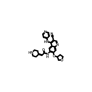 N#Cc1cnc2cc(OC3CCOC3)c(NC(=O)C=C3CCNCC3)cc2c1Nc1ccncc1